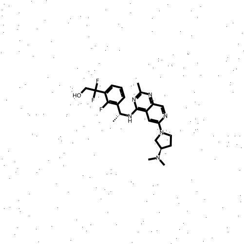 Cc1nc(N[C@H](C)c2cccc(C(F)(F)CO)c2F)c2cc(N3CC[C@@H](N(C)C)C3)ncc2n1